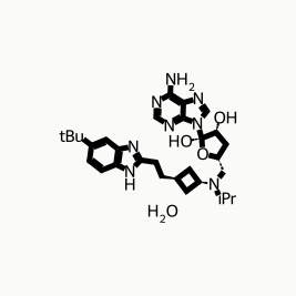 CC(C)N(C[C@H]1C[C@@H](O)[C@](O)(n2cnc3c(N)ncnc32)O1)[C@H]1C[C@H](CCc2nc3cc(C(C)(C)C)ccc3[nH]2)C1.O